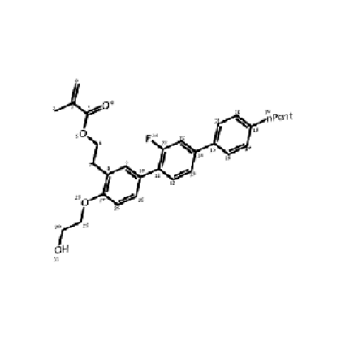 C=C(C)C(=O)OCCc1cc(-c2ccc(-c3ccc(CCCCC)cc3)cc2F)ccc1OCCO